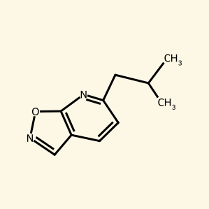 CC(C)Cc1ccc2cnoc2n1